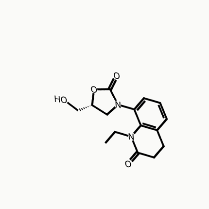 CCN1C(=O)CCc2cccc(N3C[C@H](CO)OC3=O)c21